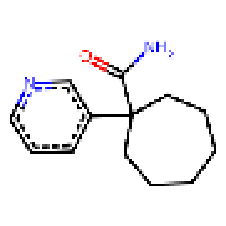 NC(=O)C1(c2cccnc2)CCCCCC1